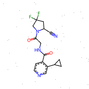 N#CC1CC(F)(F)CN1C(=O)CNC(=O)c1ccncc1C1CC1